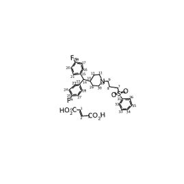 O=C(O)C=CC(=O)O.O=S(=O)(CCCN1CCC(C(c2ccc(F)cc2)c2ccc(F)cc2)CC1)c1ccccc1